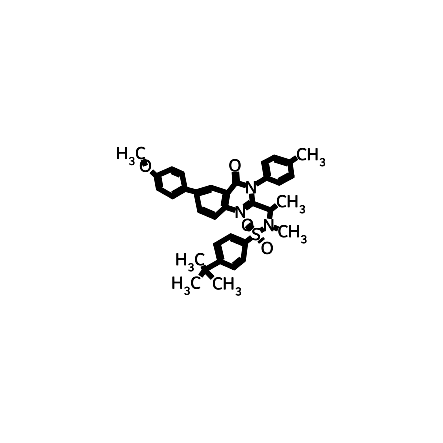 COc1ccc(-c2ccc3nc(C(C)N(C)S(=O)(=O)c4ccc(C(C)(C)C)cc4)n(-c4ccc(C)cc4)c(=O)c3c2)cc1